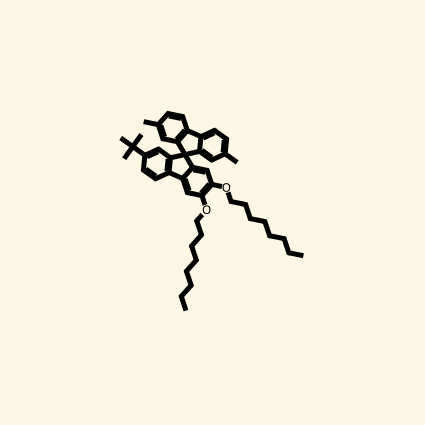 CCCCCCCCOc1cc2c(cc1OCCCCCCCC)C1(c3cc(C)ccc3-c3ccc(C)cc31)c1cc(C(C)(C)C)ccc1-2